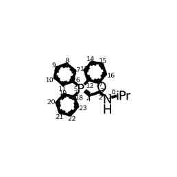 CC(C)NC(=O)C=P(c1ccccc1)(c1ccccc1)c1ccccc1